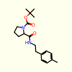 Cc1ccc(CCNC(=O)C2CCCN2C(=O)OC(C)(C)C)cc1